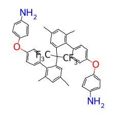 Cc1cc(C)c(-c2ccc(Oc3ccc(N)cc3)cc2)c(C(c2cc(C)cc(C)c2-c2ccc(Oc3ccc(N)cc3)cc2)(C(F)(F)F)C(F)(F)F)c1